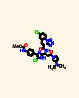 COC(=O)Nc1ccc(-c2nc([C@H](CC(=O)N3CCC(N(C)C)C3)NC(=O)C=Cc3cc(Cl)ccc3-n3cnnn3)[nH]c2Cl)cc1